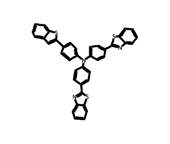 c1ccc2sc(-c3ccc(N(c4ccc(-c5nc6ccccc6s5)cc4)c4ccc(-c5nc6ccccc6s5)cc4)cc3)cc2c1